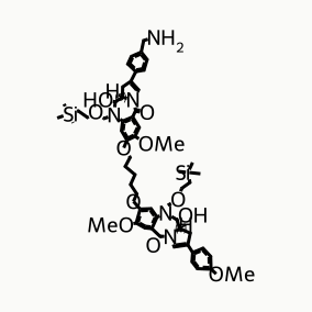 COc1ccc(C2=CN3C(=O)c4cc(OC)c(OCCCCCOc5cc6c(cc5OC)C(=O)N5C=C(c7ccc(CN)cc7)C[C@H]5C(O)N6COCC[Si](C)(C)C)cc4N(COCC[Si](C)(C)C)C(O)[C@@H]3C2)cc1